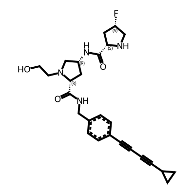 O=C(N[C@@H]1C[C@H](C(=O)NCc2ccc(C#CC#CC3CC3)cc2)N(CCO)C1)[C@@H]1C[C@H](F)CN1